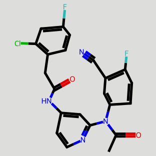 CC(=O)N(c1ccc(F)c(C#N)c1)c1cc(NC(=O)Cc2ccc(F)cc2Cl)ccn1